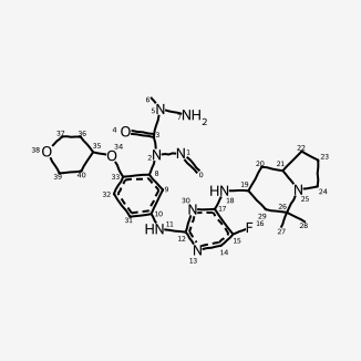 C=NN(C(=O)N(C)N)c1cc(Nc2ncc(F)c(NC3CC4CCCN4C(C)(C)C3)n2)ccc1OC1CCOCC1